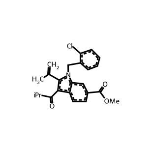 C=C(C)c1c(C(=O)C(C)C)c2ccc(C(=O)OC)cc2n1Cc1ccccc1Cl